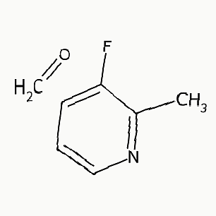 C=O.Cc1ncccc1F